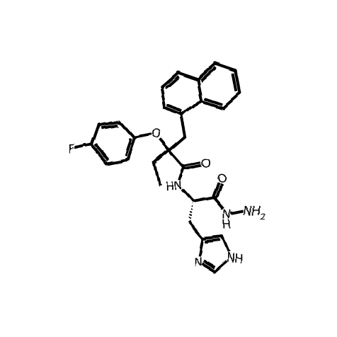 CCC(Cc1cccc2ccccc12)(Oc1ccc(F)cc1)C(=O)N[C@@H](Cc1c[nH]cn1)C(=O)NN